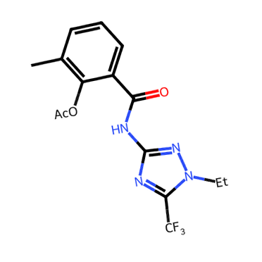 CCn1nc(NC(=O)c2cccc(C)c2OC(C)=O)nc1C(F)(F)F